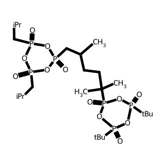 CC(C)CP1(=O)OP(=O)(CC(C)C)OP(=O)(CC(C)CCC(C)(C)P2(=O)OP(=O)(C(C)(C)C)OP(=O)(C(C)(C)C)O2)O1